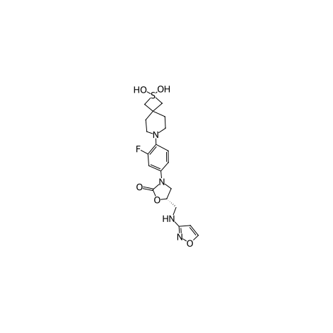 O=C1O[C@@H](CNc2ccon2)CN1c1ccc(N2CCC3(CC2)CS(O)(O)C3)c(F)c1